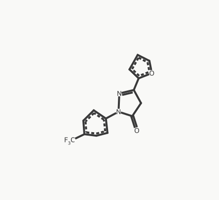 O=C1CC(c2ccco2)=NN1c1ccc(C(F)(F)F)cc1